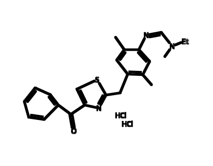 CCN(C)/C=N\c1cc(C)c(Cc2nc(C(=O)c3ccccc3)cs2)cc1C.Cl.Cl